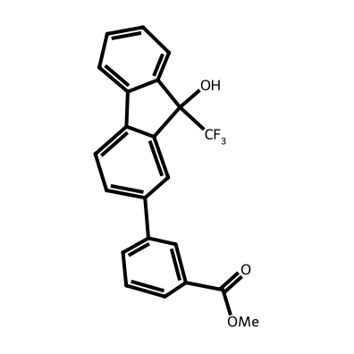 COC(=O)c1cccc(-c2ccc3c(c2)C(O)(C(F)(F)F)c2ccccc2-3)c1